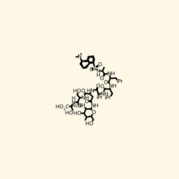 CC(=O)NC1C(NC(=O)CC(NC(=O)C(NC(=O)C(CC(C)C)NC(=O)C(CC(C)C)NC(=O)C(C)NS(=O)(=O)c2cccc3c(N(C)C)cccc23)C(C)C)C(=O)NC(CO)C(=O)NC(CO)C(=O)O)OC(CO)C(C)C1O